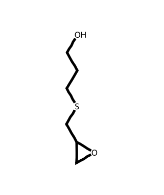 OCCCSCC1CO1